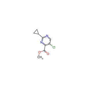 COC(=O)c1nc(C2CC2)ncc1Cl